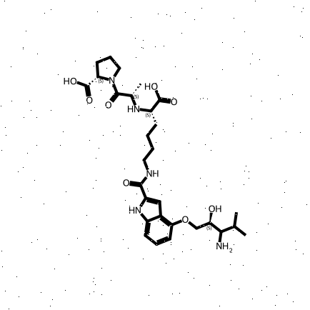 CC(C)C(N)[C@H](O)COc1cccc2[nH]c(C(=O)NCCCC[C@H](N[C@@H](C)C(=O)N3CCC[C@H]3C(=O)O)C(=O)O)cc12